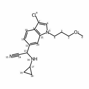 COCCCn1cc(Cl)c2ccc(C(C#N)NC3CC3)cc21